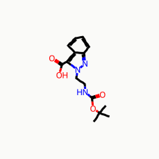 CC(C)(C)OC(=O)NCCn1nc2ccccc2c1C(=O)O